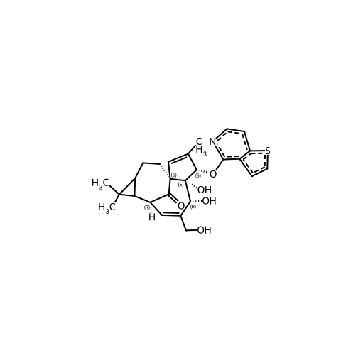 CC1=C[C@@]23CCC4C([C@H](C=C(CO)[C@@H](O)[C@]2(O)[C@H]1Oc1nccc2sccc12)C3=O)C4(C)C